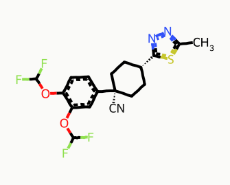 Cc1nnc([C@H]2CC[C@](C#N)(c3ccc(OC(F)F)c(OC(F)F)c3)CC2)s1